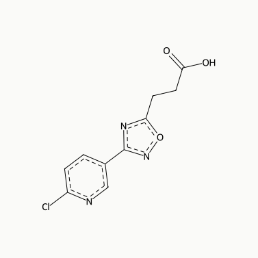 O=C(O)CCc1nc(-c2ccc(Cl)nc2)no1